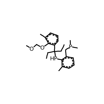 CCC(CC)(Pc1c(C)cccc1CP(C)C)c1cccc(C)c1OCOC